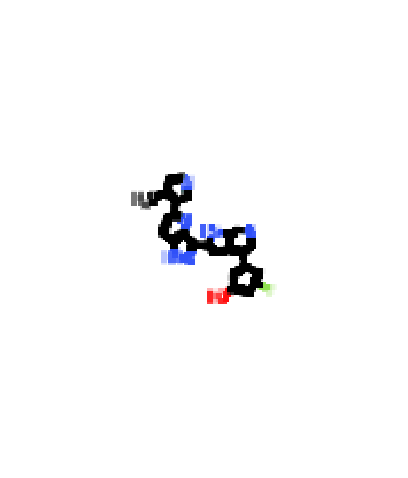 Cc1ccncc1-c1ccc2[nH]nc(-c3cc4c(-c5cc(O)cc(F)c5)cncc4[nH]3)c2n1